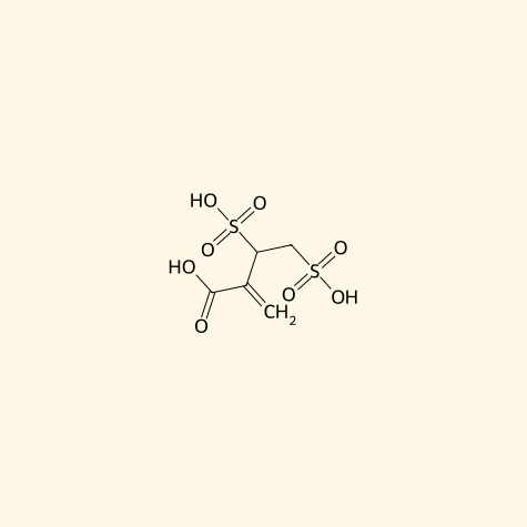 C=C(C(=O)O)C(CS(=O)(=O)O)S(=O)(=O)O